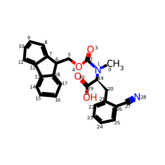 CN(C(=O)OCC1c2ccccc2-c2ccccc21)[C@@H](Cc1ccccc1C#N)C(=O)O